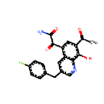 COC(=O)c1cc(C(=O)C(N)=O)c2cc(Cc3ccc(F)cc3)cnc2c1O